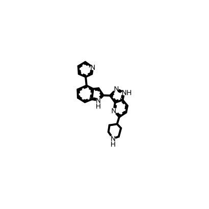 c1cncc(-c2cccc3[nH]c(-c4n[nH]c5ccc(C6CCNCC6)nc45)cc23)c1